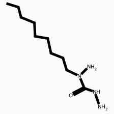 CCCCCCCCCN(N)C(=O)NN